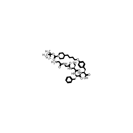 CC(C)(C)OC(=O)N1CCC(CCCCOc2ccc(C[C@H](NC(=O)[C@H](Cc3ccccc3)NC(=O)[C@H](CS)NC(=O)CNC(=O)CN)C(=O)O)cc2)CC1